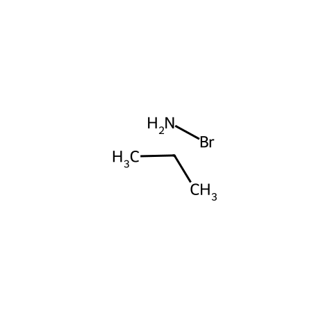 CCC.NBr